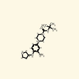 CC(C)(C)OC(=O)N1CCN(c2ccc(OC3CCOC3)c(N)c2)CC1